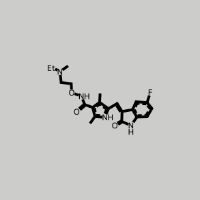 CCN(C)CCONC(=O)c1c(C)[nH]c(/C=C2\C(=O)Nc3ccc(F)cc32)c1C